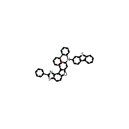 c1ccc(-c2nc3c(ccc4oc5cc(N(c6ccc7c(c6)sc6ccccc67)c6ccccc6-c6ccccc6)ccc5c43)s2)cc1